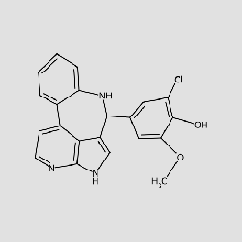 COc1cc(C2Nc3ccccc3-c3ccnc4[nH]cc2c34)cc(Cl)c1O